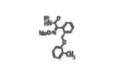 CCNC(=O)C(=NOC)c1ccccc1COc1ccccc1C